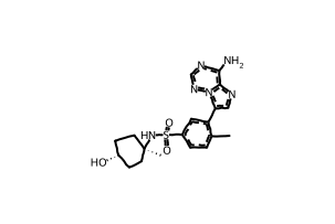 Cc1ccc(S(=O)(=O)N[C@]2(C)CC[C@@H](O)CC2)cc1-c1cnc2c(N)ncnn12